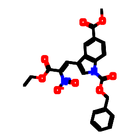 CCOC(=O)C(=Cc1cn(C(=O)OCc2ccccc2)c2ccc(C(=O)OC)cc12)[N+](=O)[O-]